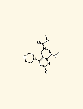 COC(=O)N1C=C(SC)c2nc(Cl)cc(N3CCOCC3)c2C1